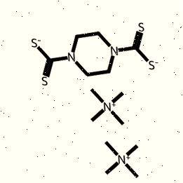 C[N+](C)(C)C.C[N+](C)(C)C.S=C([S-])N1CCN(C(=S)[S-])CC1